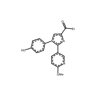 CCC(=O)c1cn(-c2ccc(O)cc2)c(-c2ccc(OC)nc2)n1